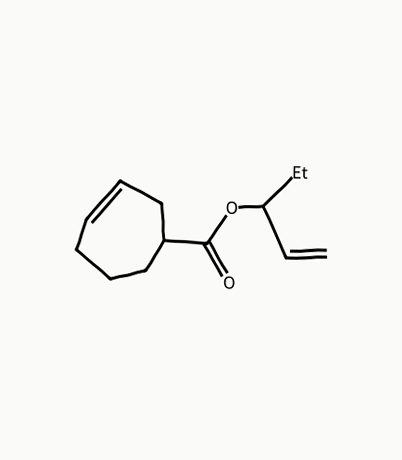 C=CC(CC)OC(=O)C1CC=CCCC1